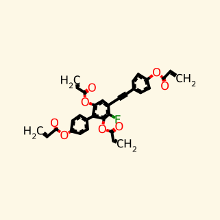 C=CC(=O)Oc1ccc(C#Cc2cc(OC(=O)C=C)c(-c3ccc(OC(=O)C=C)cc3)c(OC(=O)C=C)c2F)cc1